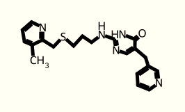 Cc1cccnc1CSCCCNc1ncc(Cc2cccnc2)c(=O)[nH]1